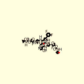 CC1(NC(=O)O[C@@H]2CO[C@H](c3cc(Nc4ncc(-[n+]5[nH]c([C@H]6OC[C@@H](OC(=O)NC78CC(C7)C8)[C@H]6F)cc5Nc5nccn6ncc(Cl)c56)n5nc(-c6cc(F)cc(F)c6)cc45)n[nH]3)[C@H]2F)CC1